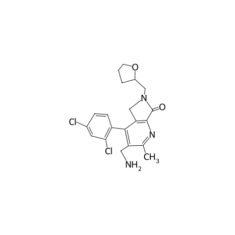 Cc1nc2c(c(-c3ccc(Cl)cc3Cl)c1CN)CN(CC1CCCO1)C2=O